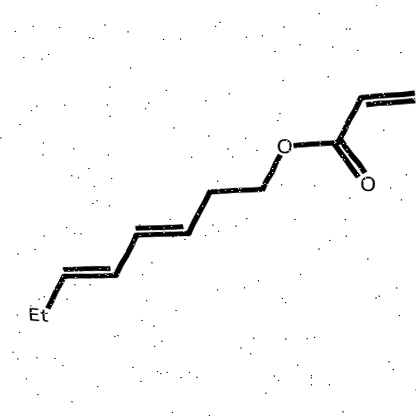 C=CC(=O)OCCC=CC=CCC